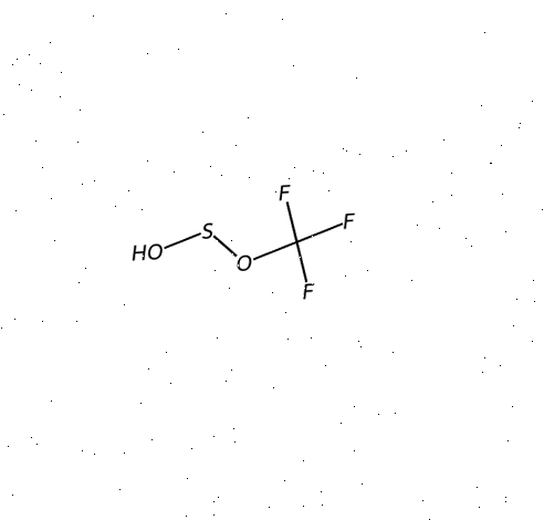 OSOC(F)(F)F